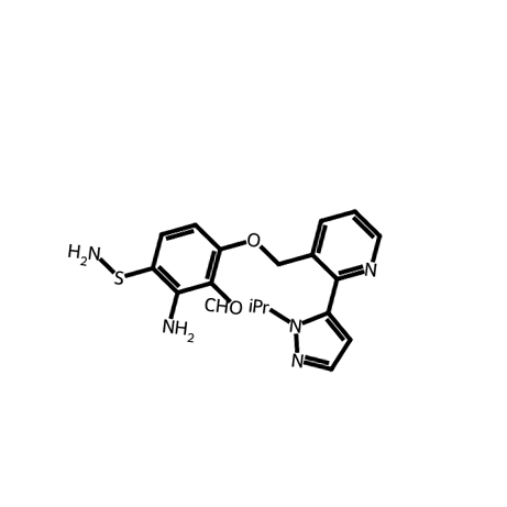 CC(C)n1nccc1-c1ncccc1COc1ccc(SN)c(N)c1C=O